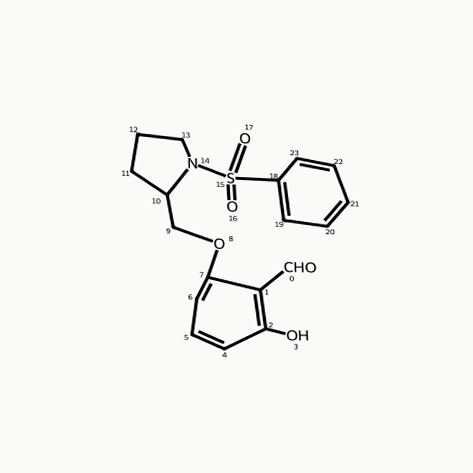 O=Cc1c(O)cccc1OCC1CCCN1S(=O)(=O)c1ccccc1